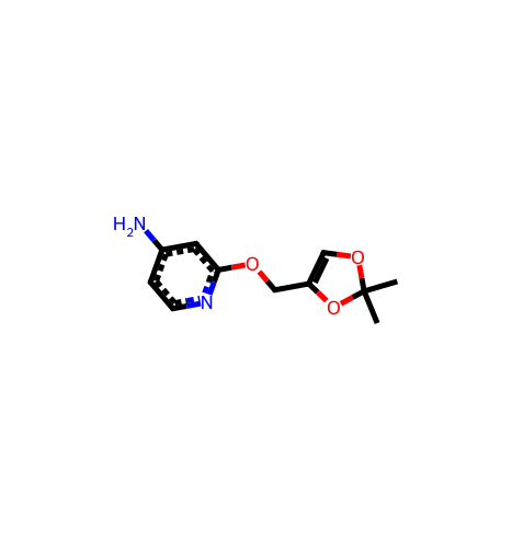 CC1(C)OC=C(COc2cc(N)ccn2)O1